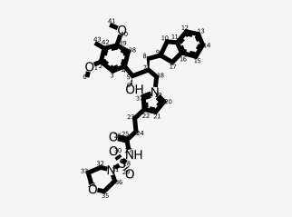 COc1cc([C@@H](O)[C@@H](CC2Cc3ccccc3C2)Cn2ccc(CCC(=O)NS(=O)(=O)N3CCOCC3)c2)cc(OC)c1C